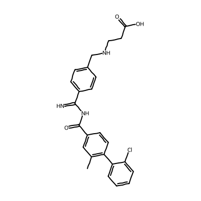 Cc1cc(C(=O)NC(=N)c2ccc(CNCCC(=O)O)cc2)ccc1-c1ccccc1Cl